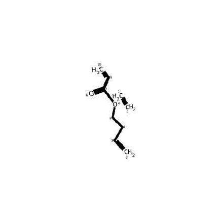 C=C.C=CCCOC(=O)C=C